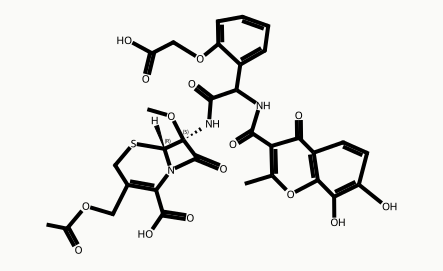 CO[C@@]1(NC(=O)C(NC(=O)c2c(C)oc3c(O)c(O)ccc3c2=O)c2ccccc2OCC(=O)O)C(=O)N2C(C(=O)O)=C(COC(C)=O)CS[C@@H]21